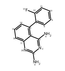 Nc1nc(N)c2c(-c3ccccc3F)cccc2n1